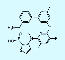 Cc1cc(Oc2nc(N(C)c3ccsc3C(=O)O)c(F)cc2F)cc(-c2cccc(CN)c2)c1